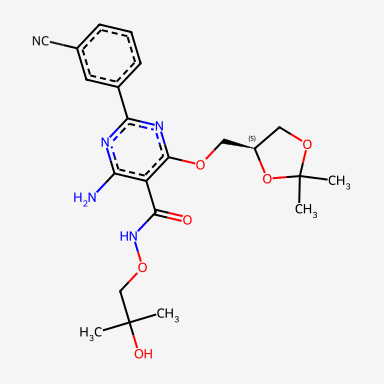 CC(C)(O)CONC(=O)c1c(N)nc(-c2cccc(C#N)c2)nc1OC[C@H]1COC(C)(C)O1